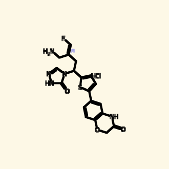 Cl.NC/C(=C\F)CC(c1ccc(-c2ccc3c(c2)NC(=O)CO3)s1)n1cn[nH]c1=O